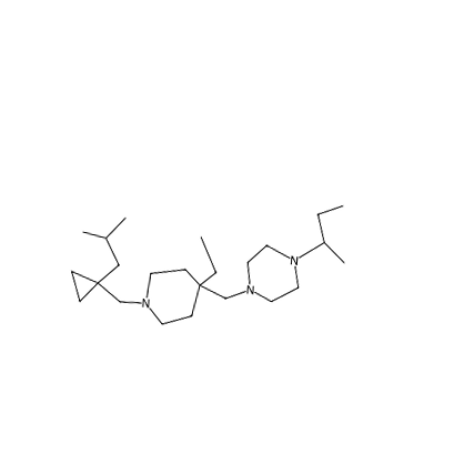 CCC(C)N1CCN(CC2(CC)CCN(CC3(CC(C)C)CC3)CC2)CC1